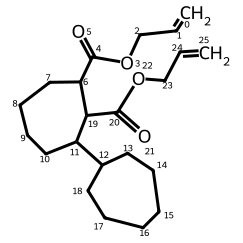 C=CCOC(=O)C1CCCCC(C2CCCCCC2)C1C(=O)OCC=C